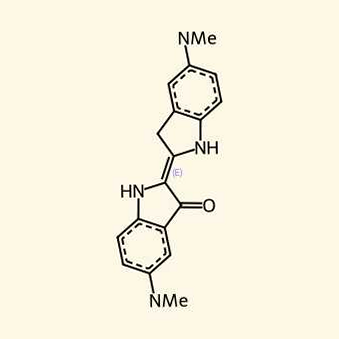 CNc1ccc2c(c1)C/C(=C1\Nc3ccc(NC)cc3C1=O)N2